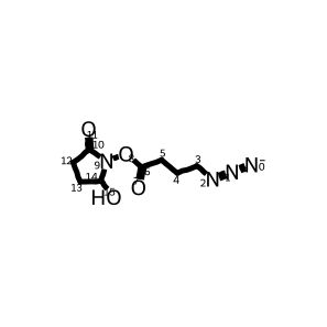 [N-]=[N+]=NCCCC(=O)ON1C(=O)CCC1O